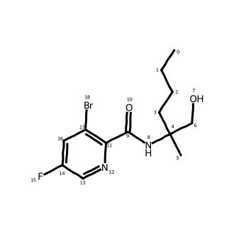 CCCCC(C)(CO)NC(=O)c1ncc(F)cc1Br